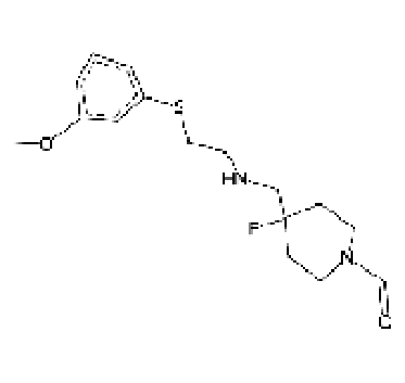 COc1cccc(SCCNCC2(F)CCN(C=O)CC2)c1